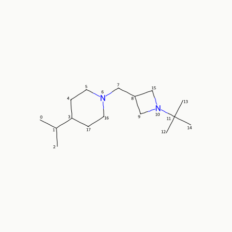 CC(C)C1CCN(CC2CN(C(C)(C)C)C2)CC1